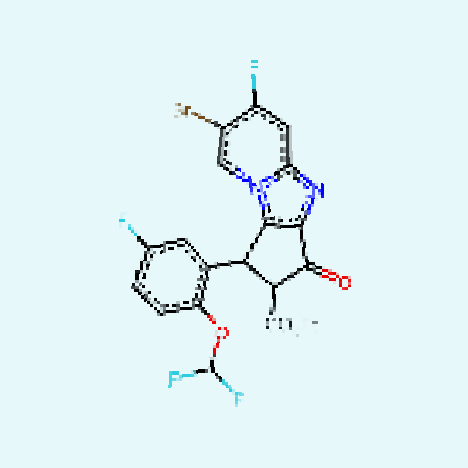 CCOC(=O)C1C(=O)c2nc3cc(F)c(Br)cn3c2C1c1cc(F)ccc1OC(F)F